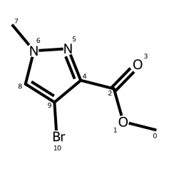 COC(=O)c1nn(C)cc1Br